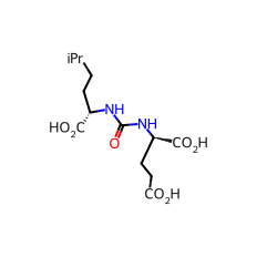 CC(C)CC[C@H](NC(=O)N[C@H](CCC(=O)O)C(=O)O)C(=O)O